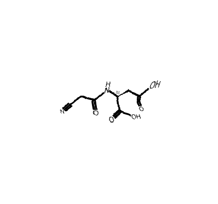 N#CCC(=O)N[C@@H](CC(=O)O)C(=O)O